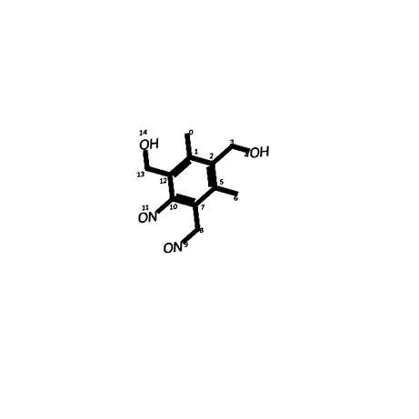 Cc1c(CO)c(C)c(CN=O)c(N=O)c1CO